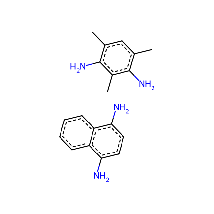 Cc1cc(C)c(N)c(C)c1N.Nc1ccc(N)c2ccccc12